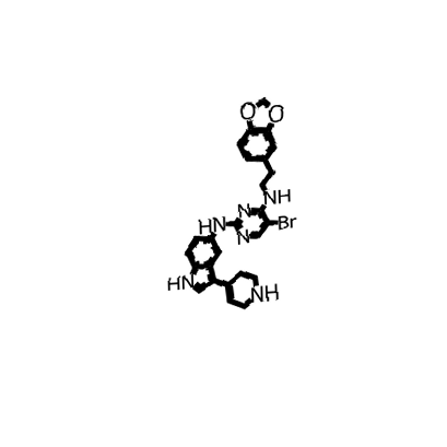 Brc1cnc(Nc2ccc3[nH]cc(C4=CCNCC4)c3c2)nc1NCCc1ccc2c(c1)OCO2